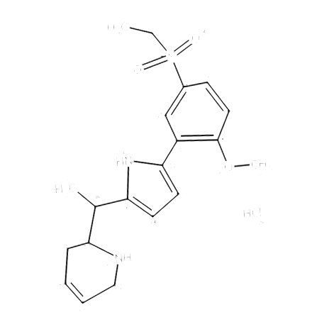 CCS(=O)(=O)c1ccc(OC)c(-c2ccc(C(C)C3CC=CCN3)[nH]2)c1.Cl